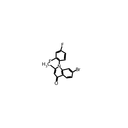 Cc1cc(=O)c2ccc(Br)cc2n1-c1ccc(F)cc1F